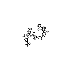 Cc1ncsc1-c1ccc([C@H](C)NC(=O)[C@@H]2C[C@@H](O)CN2C(=O)[C@@H](c2cc(OCC(=O)N3CCc4[nH]c5nnc(-c6ccccc6O)cc5c4C3)no2)C(C)C)cc1